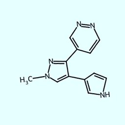 Cn1cc(-c2cc[nH]c2)c(-c2ccnnc2)n1